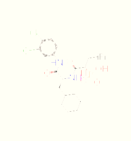 CC(C)CC(C(=O)N[C@@H](CC1CCCCC1)C(=O)Nc1ccc(Cl)c(Cl)c1)P(=O)(O)O